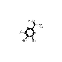 C=C(c1cc(Cl)c(C#N)c(Cl)c1)C(F)(F)F